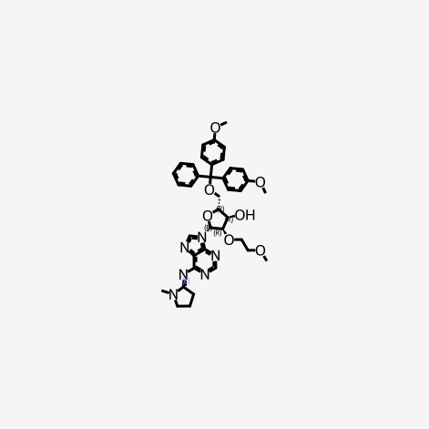 COCCO[C@@H]1[C@H](O)[C@@H](COC(c2ccccc2)(c2ccc(OC)cc2)c2ccc(OC)cc2)O[C@H]1n1cnc2c(/N=C3\CCCN3C)ncnc21